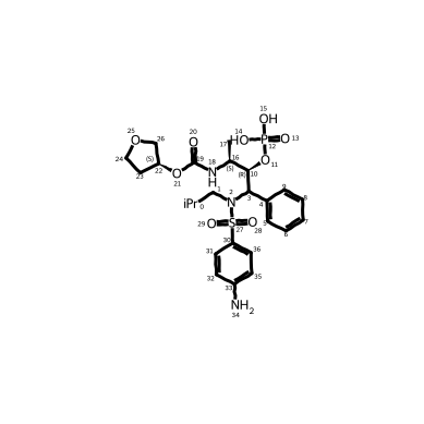 CC(C)CN(C(c1ccccc1)[C@H](OP(=O)(O)O)[C@H](C)NC(=O)O[C@H]1CCOC1)S(=O)(=O)c1ccc(N)cc1